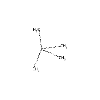 CCCCCCCCCCCCCC[PH](CCCCCCCCCCCCC)(CCCCCCCCCCCCC)CCCCCCCCCCCCC